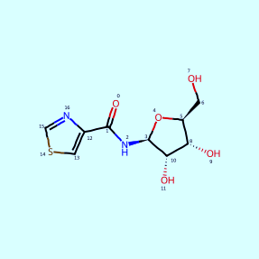 O=C(N[C@H]1O[C@@H](CO)[C@H](O)[C@@H]1O)c1cscn1